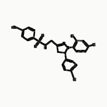 CCCCc1ccc(S(=O)(=O)NCC2=NN(c3ccc(Cl)cc3Cl)C(c3ccc(Cl)cc3)C2)cc1